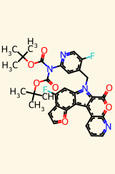 CC(C)(C)OC(=O)N(C(=O)OC(C)(C)C)c1cc(Cn2c3cc(F)c4ccoc4c3c3c4cccnc4oc(=O)c32)c(F)cn1